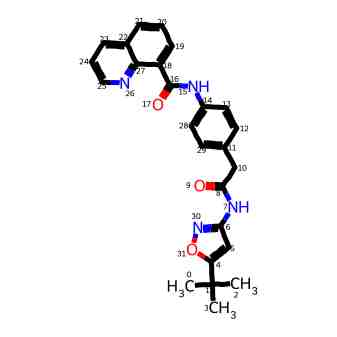 CC(C)(C)c1cc(NC(=O)Cc2ccc(NC(=O)c3cccc4cccnc34)cc2)no1